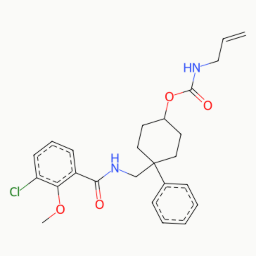 C=CCNC(=O)OC1CCC(CNC(=O)c2cccc(Cl)c2OC)(c2ccccc2)CC1